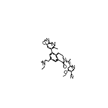 CCOc1cc([C@H](C)N2CCc3c(cc(CCN(C)CC)cc3-c3cc4ocnc4nc3C)C2=O)ncc1C#N